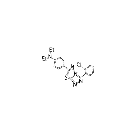 CCN(CC)c1ccc(-c2nn3c(-c4ccccc4Cl)nnc3s2)cc1